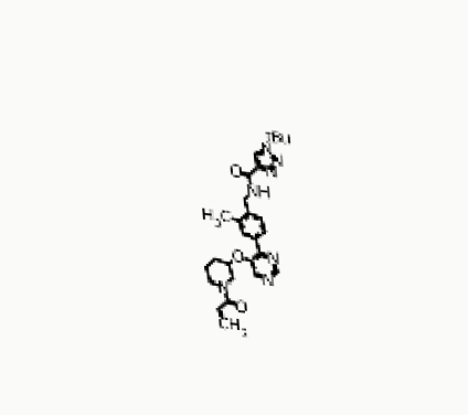 C=CC(=O)N1CCCC(Oc2cncnc2-c2ccc(CNC(=O)c3cn(C(C)(C)C)nn3)c(C)c2)C1